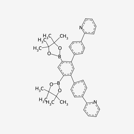 CC1(C)OB(c2cc(B3OC(C)(C)C(C)(C)O3)c(-c3ccc(-c4ccccn4)cc3)cc2-c2ccc(-c3ccccn3)cc2)OC1(C)C